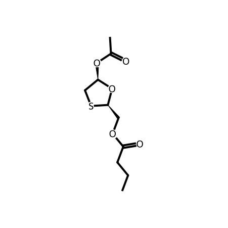 CCCC(=O)OC[C@@H]1O[C@H](OC(C)=O)CS1